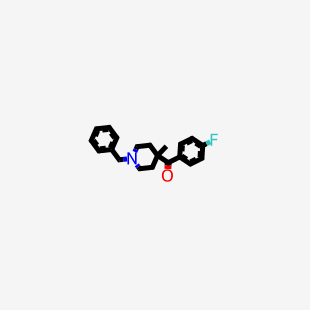 CC1(C(=O)c2ccc(F)cc2)CCN(Cc2ccccc2)CC1